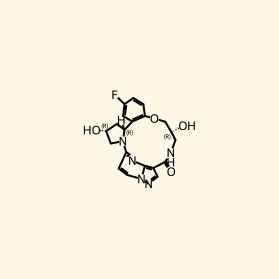 O=C1NC[C@@H](O)COc2ccc(F)cc2[C@H]2C[C@@H](O)CN2c2ccn3ncc1c3n2